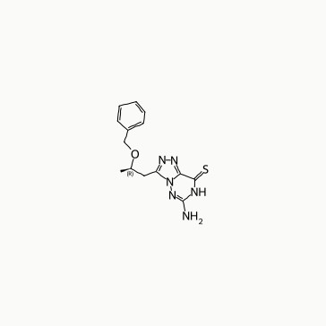 C[C@H](Cc1nnc2c(=S)[nH]c(N)nn12)OCc1ccccc1